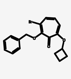 O=c1c(OC2CCC2)cccc(Br)c1OCc1ccccc1